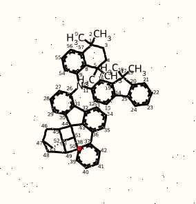 CC1(C)CCC(C)(C)c2c(N(c3ccc4c(c3)C(C)(C)c3ccccc3-4)c3cccc4c3-c3cccc(-c5ccccc5)c3C43C4CC5CC6CC3[C@@]64C5)cccc21